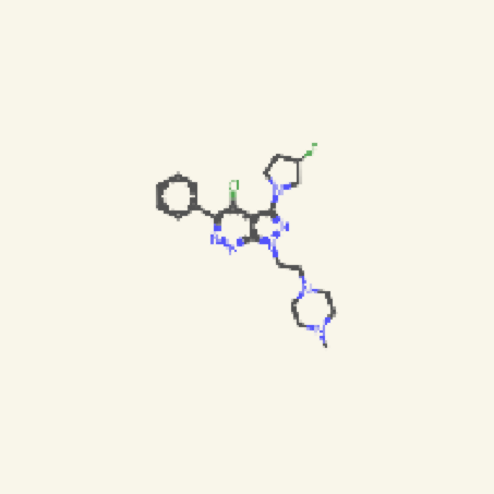 CN1CCN(CCn2nc(N3CC[C@@H](F)C3)c3c(Cl)c(-c4ccccc4)nnc32)CC1